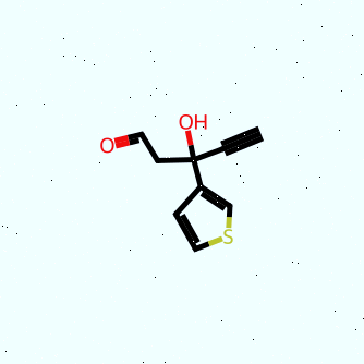 C#CC(O)(CC=O)c1ccsc1